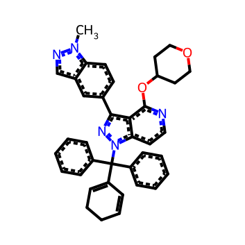 Cn1ncc2cc(-c3nn(C(C4=CCCC=C4)(c4ccccc4)c4ccccc4)c4ccnc(OC5CCOCC5)c34)ccc21